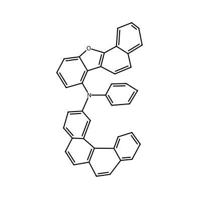 c1ccc(N(c2ccc3ccc4ccc5ccccc5c4c3c2)c2cccc3oc4c5ccccc5ccc4c23)cc1